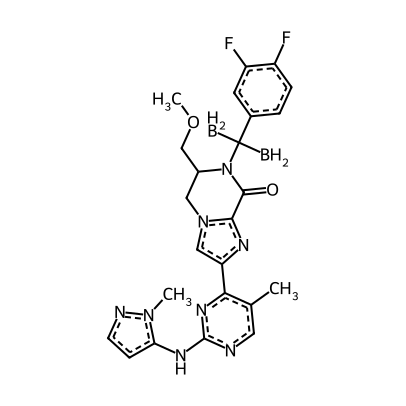 BC(B)(c1ccc(F)c(F)c1)N1C(=O)c2nc(-c3nc(Nc4ccnn4C)ncc3C)cn2CC1COC